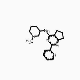 CN1CCCC(Nc2nc(-c3ccccn3)nc3c2CCC3)C1